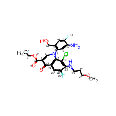 CCOC(=O)c1cn(-c2cc(N)c(F)cc2CO)c2c(Cl)c(NCCCOC)c(F)cc2c1=O